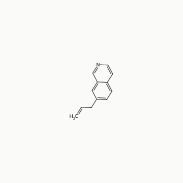 C=CCc1ccc2ccncc2c1